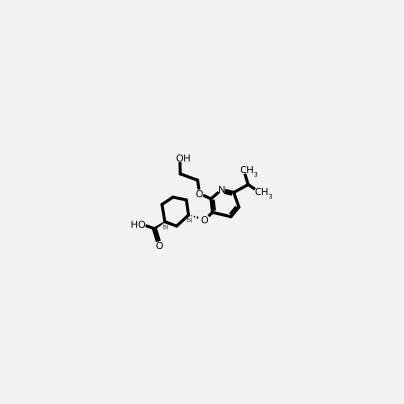 CC(C)c1ccc(O[C@H]2CCC[C@H](C(=O)O)C2)c(OCCO)n1